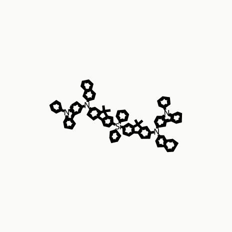 CC1(C)c2cc(N(c3ccc4ccccc4c3)c3ccc4c(c3)c3ccccc3n4-c3ccccc3)ccc2-c2ccc([Si](c3ccccc3)(c3ccccc3)c3ccc4c(c3)C(C)(C)c3cc(N(c5ccc6ccccc6c5)c5ccc6c(c5)c5ccccc5n6-c5ccccc5)ccc3-4)cc21